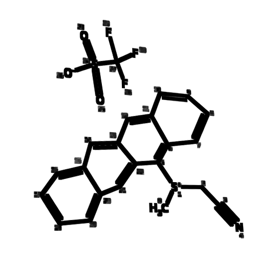 C[S+](CC#N)c1c2ccccc2cc2cc3ccccc3cc12.O=S(=O)([O-])C(F)(F)F